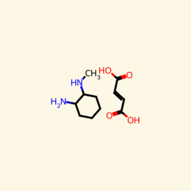 CNC1CCCCC1N.O=C(O)C=CC(=O)O